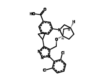 O=C(O)c1cccc(N2C[C@H]3CC[C@]2(OCc2c(C4CC4)nnn2-c2c(Cl)cccc2Cl)C3)c1